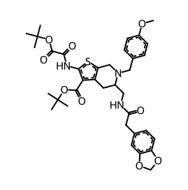 COc1ccc(CN2Cc3sc(NC(=O)C(=O)OC(C)(C)C)c(C(=O)OC(C)(C)C)c3CC2CNC(=O)Cc2ccc3c(c2)OCO3)cc1